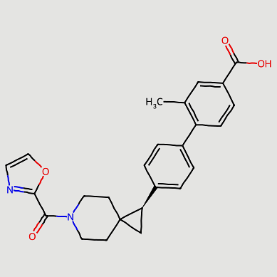 Cc1cc(C(=O)O)ccc1-c1ccc([C@H]2CC23CCN(C(=O)c2ncco2)CC3)cc1